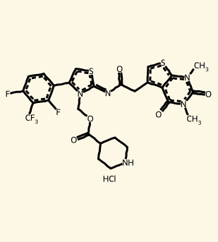 Cl.Cn1c(=O)c2c(CC(=O)/N=c3\scc(-c4ccc(F)c(C(F)(F)F)c4F)n3COC(=O)C3CCNCC3)csc2n(C)c1=O